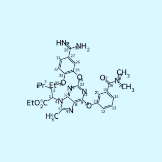 CCOC(=O)C(CC(C)C)n1c(C)nc2c(Oc3cccc(C(=O)N(C)C)c3)nc(Oc3cc(C(=N)N)ccc3OCC)nc21